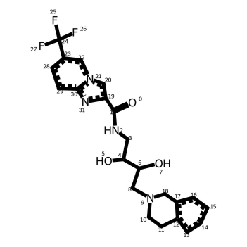 O=C(NCC(O)C(O)CN1CCc2ccccc2C1)c1cn2cc(C(F)(F)F)ccc2n1